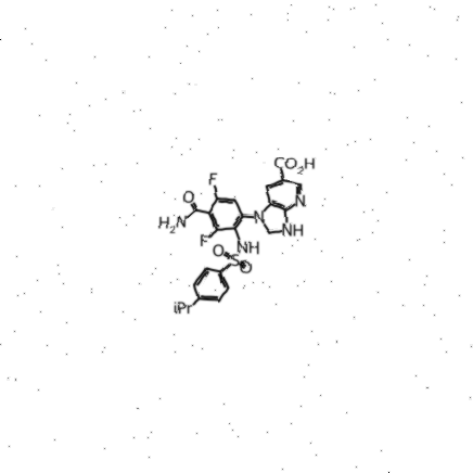 CC(C)c1ccc(S(=O)(=O)Nc2c(N3CNc4ncc(C(=O)O)cc43)cc(F)c(C(N)=O)c2F)cc1